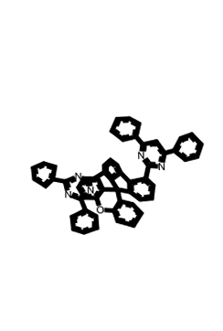 c1ccc(-c2cc(-c3ccccc3)nc(-c3cccc4c3-c3cccc(-c5nc(-c6ccccc6)nc(-c6ccccc6)n5)c3C43c4ccccc4Oc4ccccc43)n2)cc1